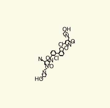 COc1nc(O[C@H]2CCc3c(-c4cccc(-c5nc6c(=O)n(CCN7CC[C@@H](O)C7)cc(C#N)c6o5)c4Cl)cccc32)c(Cl)cc1CN1CC[C@@H](O)C1